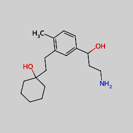 Cc1ccc(C(O)CCN)cc1CCC1(O)CCCCC1